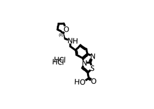 Cl.Cl.O=C(O)c1cn2c(nc3ccc(CNC[C@H]4CCCO4)cc32)s1